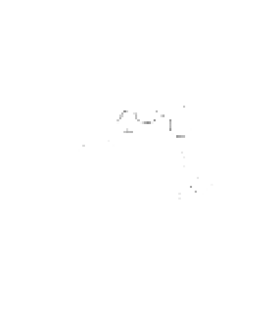 CCCOc1cccc(-c2nc(C)c(C(=O)NCCC3CCCN3C)s2)c1